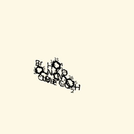 COc1ccc(Br)cc1CN[C@@H]1C(c2ccccc2)N(C(=O)C2CCCCC2)[C@H](C(=O)O)[C@H]1C(C)(C)C